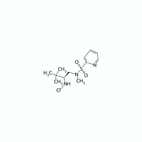 CN(C[C@@H](NCl)C(C)(C)C)S(=O)(=O)c1ccccn1